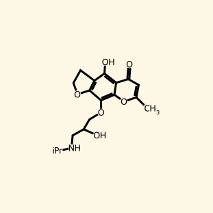 Cc1cc(=O)c2c(O)c3c(c(OCC(O)CNC(C)C)c2o1)OCC3